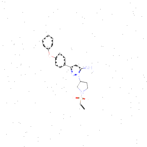 C=CS(=O)(=O)N1CCC(n2nc(-c3ccc(Oc4ccccc4)cc3)cc2N)C1